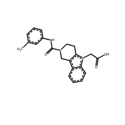 Cc1cccc(NC(=S)N2CCc3c(c4ccccc4n3CC(=O)O)C2)c1